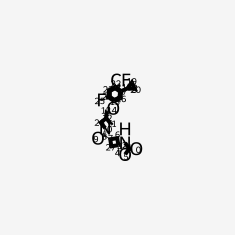 O=C1N[C@]2(CO1)C[C@@H](C(=O)N1CC(COc3cc(C4CC4)c(C(F)(F)F)cc3F)C1)C2